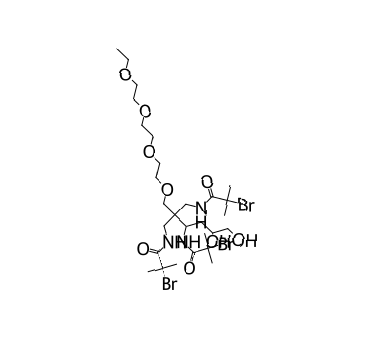 CCOCCOCCOCCOCC(CNC(=O)C(C)(C)Br)(CNC(=O)C(C)(C)Br)C(CC(O)CO)NC(=O)C(C)(C)Br